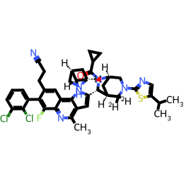 [2H]C1([2H])[C@@H]2C[C@H](CN1c1ncc(C(C)C)s1)N(C(=O)C1CC1)[C@H]2c1cc2c(C)nc3c(F)c(-c4cccc(Cl)c4Cl)c(CCC#N)cc3c2n1[C@H]1[C@H]2CN[C@@H]1C2